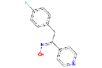 ON=C(Cc1ccc(F)cc1)c1ccncc1